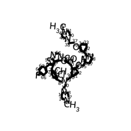 Cc1c2ccc(c1Cl)CN(CCN1CCN(C)CC1)Cc1ccc(OCc3ccnc(-c4cccc(OCCN5CCN(C)CC5)c4)n3)c(c1)C[C@H](C(=O)O)Oc1ncnc3sc(-c4ccc(F)cc4)c-2c13